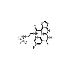 C[C@H](Nc1nc(C(=O)NCCNS(C)(=O)=O)c2sccc2n1)c1cncc(F)c1